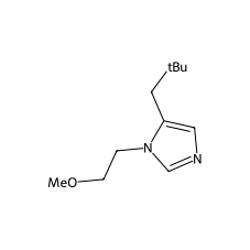 COCCn1cncc1CC(C)(C)C